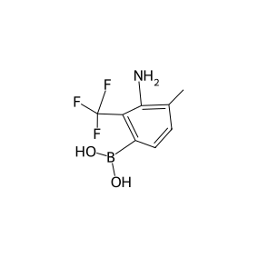 Cc1ccc(B(O)O)c(C(F)(F)F)c1N